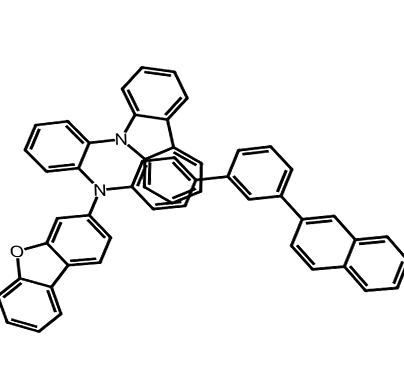 c1cc(-c2ccc(N(c3ccc4c(c3)oc3ccccc34)c3ccccc3-n3c4ccccc4c4ccccc43)cc2)cc(-c2ccc3ccccc3c2)c1